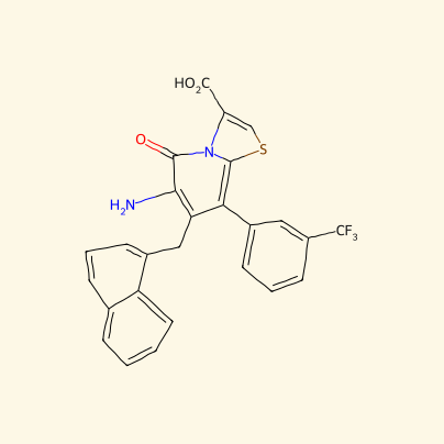 Nc1c(Cc2cccc3ccccc23)c(-c2cccc(C(F)(F)F)c2)c2scc(C(=O)O)n2c1=O